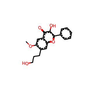 COc1cc2c(=O)c(O)c(-c3ccccc3)oc2cc1CCCO